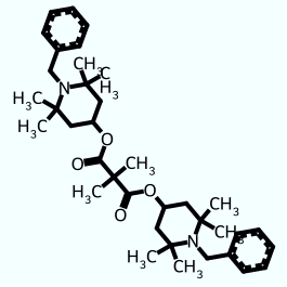 CC(C)(C(=O)OC1CC(C)(C)N(Cc2ccccc2)C(C)(C)C1)C(=O)OC1CC(C)(C)N(Cc2ccccc2)C(C)(C)C1